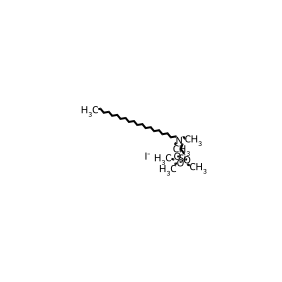 CCCCCCCCCCCCCCCCCCCC[N+](CC)(CC)CCC[Si](OCC)(OCC)OCC.[I-]